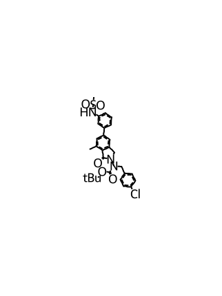 Cc1cc(-c2cccc(NS(C)(=O)=O)c2)cc2c1C(=O)N(N(Cc1ccc(Cl)cc1)C(=O)OC(C)(C)C)C2